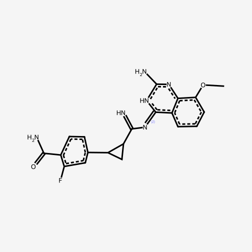 COc1cccc2/c(=N/C(=N)C3CC3c3ccc(C(N)=O)c(F)c3)[nH]c(N)nc12